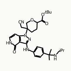 CC(C)NC(C)(C)c1ccc(Nc2nn(C3(CC#N)CCC(C(=O)OC(C)(C)C)OC3)c3cc[nH]c(=O)c23)cc1